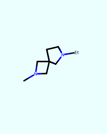 CCN1CCC2(CN(C)C2)C1